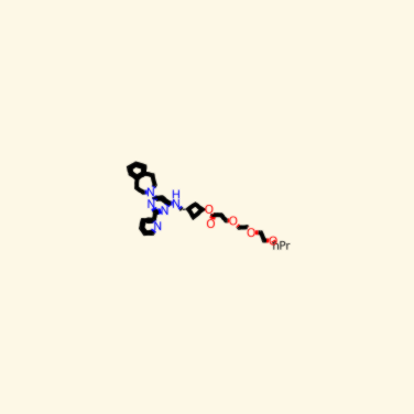 CCCOCCOCCOCCC(=O)O[C@H]1C[C@H](CNc2cc(N3CCc4ccccc4CC3)nc(-c3ccccn3)n2)C1